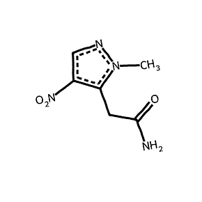 Cn1ncc([N+](=O)[O-])c1CC(N)=O